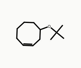 CC(C)(C)OC1CC=CCCCC1